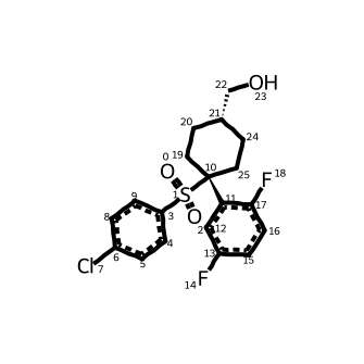 O=S(=O)(c1ccc(Cl)cc1)[C@]1(c2cc(F)ccc2F)CC[C@H](CO)CC1